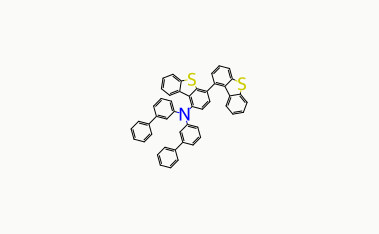 c1ccc(-c2cccc(N(c3cccc(-c4ccccc4)c3)c3ccc(-c4cccc5sc6ccccc6c45)c4sc5ccccc5c34)c2)cc1